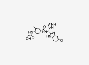 Cc1cc(C(=O)NC(c2cc[nH]n2)c2nc3c([nH]2)CCC(Cl)=C3)ccc1NC(=O)CO